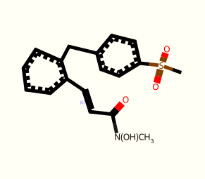 CN(O)C(=O)/C=C/c1ccccc1Cc1ccc(S(C)(=O)=O)cc1